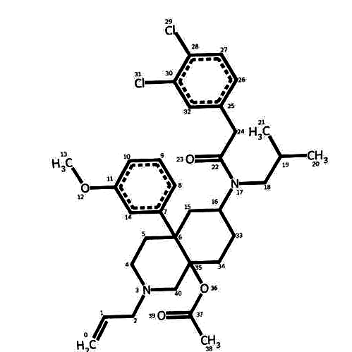 C=CCN1CCC2(c3cccc(OC)c3)CC(N(CC(C)C)C(=O)Cc3ccc(Cl)c(Cl)c3)CCC2(OC(C)=O)C1